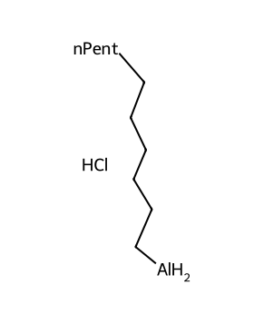 CCCCCCCCCC[CH2][AlH2].Cl